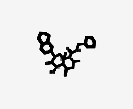 CCC(C)[C@H]1C(=O)N(c2ccc3ccccc3c2)C[C@H]2N1C(=O)CN(C)N2C(=O)NCc1ccccc1